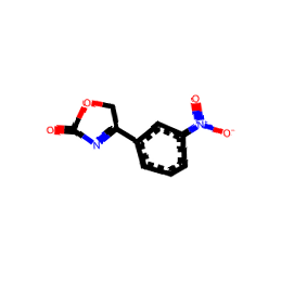 O=C1N=C(c2cccc([N+](=O)[O-])c2)CO1